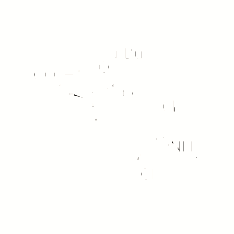 CCCCOC(=O)[C@H](CC(=O)O)Cc1cc(Cl)c(N)c(C(F)(F)F)c1